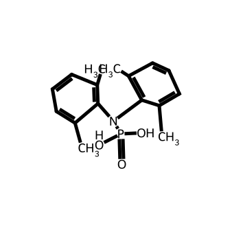 Cc1cccc(C)c1N(c1c(C)cccc1C)P(=O)(O)O